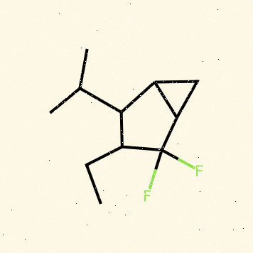 CCC1C(C(C)C)C2CC2C1(F)F